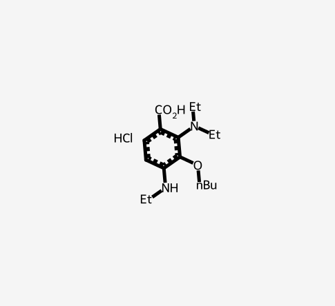 CCCCOc1c(NCC)ccc(C(=O)O)c1N(CC)CC.Cl